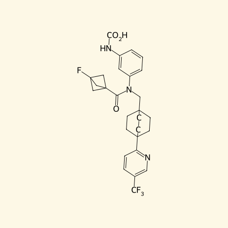 O=C(O)Nc1cccc(N(CC23CCC(c4ccc(C(F)(F)F)cn4)(CC2)CC3)C(=O)C23CC(F)(C2)C3)c1